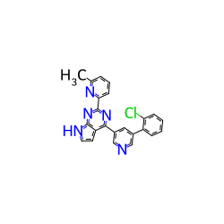 Cc1cccc(-c2nc(-c3cncc(-c4ccccc4Cl)c3)c3cc[nH]c3n2)n1